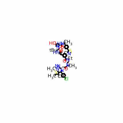 CCN(CCN(C)C1O[C@H]1C[C@@H]1N=C(C2=CCC(Cl)C=C2)C2=C(SC(C)[C@@H]2C)n2c(C)nnc21)C(=O)c1cccc(CC(=O)N[C@H](C(=O)N2C[C@H](O)C[C@H]2C(=O)N[C@@H](C)c2ccc(-c3scnc3C)cc2)C(C)(C)C)c1